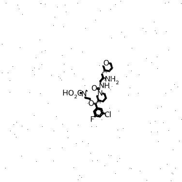 CN(CCOC(c1cc(F)cc(Cl)c1)[C@@H]1CCCN(C(=O)NC[C@H](N)C[C@H]2CCCOC2)C1)C(=O)O